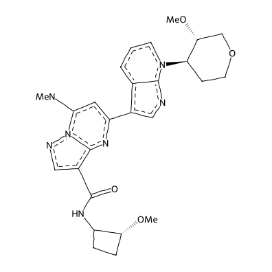 CNc1cc(-c2cnc3n([C@@H]4CCOC[C@H]4OC)cccc2-3)nc2c(C(=O)NC3CC[C@H]3OC)cnn12